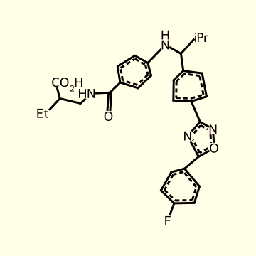 CCC(CNC(=O)c1ccc(NC(c2ccc(-c3noc(-c4ccc(F)cc4)n3)cc2)C(C)C)cc1)C(=O)O